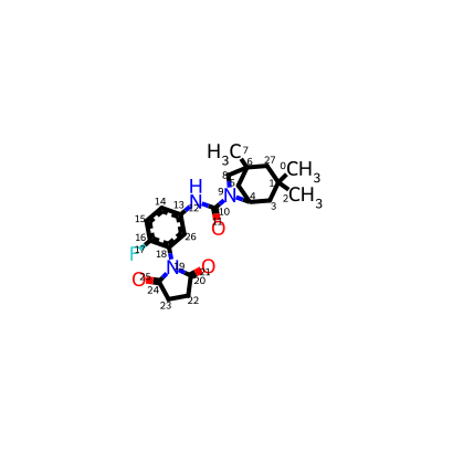 CC1(C)CC2CC(C)(CN2C(=O)Nc2ccc(F)c(N3C(=O)CCC3=O)c2)C1